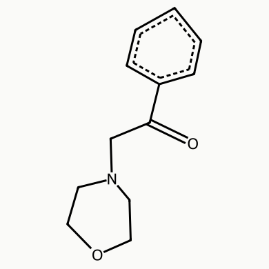 O=C(CN1CCOCC1)c1ccccc1